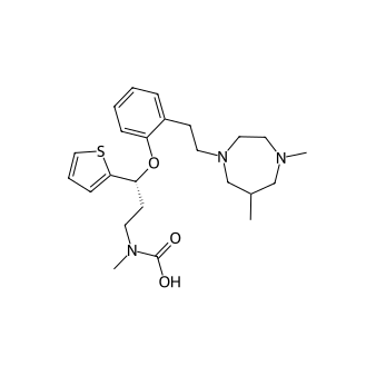 CC1CN(C)CCN(CCc2ccccc2O[C@H](CCN(C)C(=O)O)c2cccs2)C1